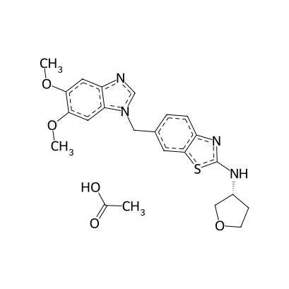 CC(=O)O.COc1cc2ncn(Cc3ccc4nc(N[C@@H]5CCOC5)sc4c3)c2cc1OC